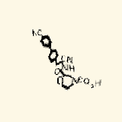 N#Cc1ccc(-c2ccc(C[C@@H](C#N)NC(=O)C3CN(C(=O)O)CCCO3)cc2)cc1